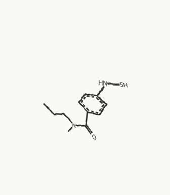 CCCN(C)C(=O)c1ccc(NS)cc1